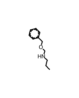 CCCNCOCc1ccccc1